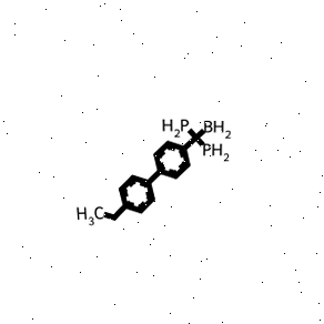 BC(P)(P)c1ccc(-c2ccc(CC)cc2)cc1